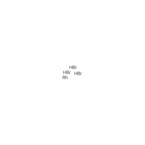 Br.Br.Br.[Rh]